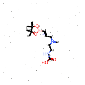 CN(C/C=C/B1OC(C)(C)C(C)(C)O1)CCNC(=O)O